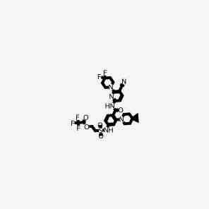 N#Cc1ccc(NC(=O)c2ccc(NS(=O)(=O)CCOC(=O)C(F)(F)F)cc2N2CCC3(CC2)CC3)nc1N1CCC(F)(F)CC1